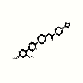 COc1ccc(-c2cnc(N3CCN(CC(=O)N4CCN(C5CCC5)CC4)CC3)cn2)c(OC)c1